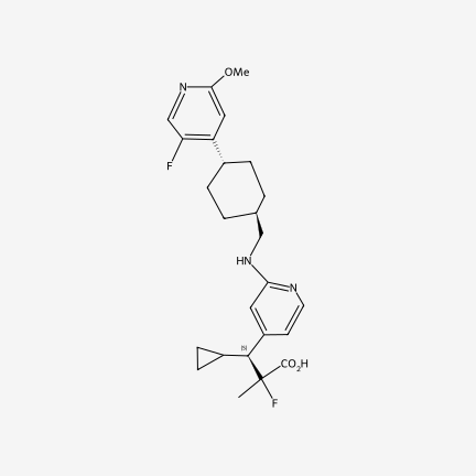 COc1cc([C@H]2CC[C@H](CNc3cc([C@H](C4CC4)C(C)(F)C(=O)O)ccn3)CC2)c(F)cn1